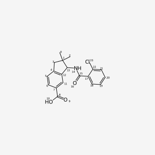 CC1(C)Cc2ccc(C(=O)O)cc2C1NC(=O)c1ccccc1Cl